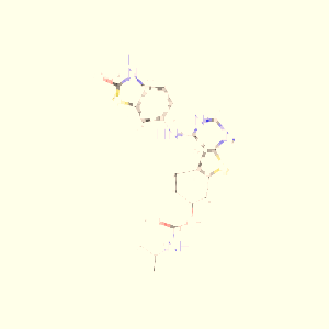 CC(C)NC(=O)OC1CCc2c(sc3ncnc(Nc4ccc5[nH]c(=O)sc5c4)c23)C1